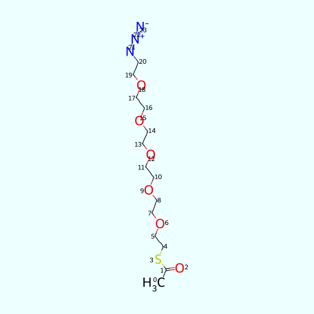 CC(=O)SCCOCCOCCOCCOCCOCCN=[N+]=[N-]